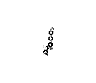 CCc1c(-c2ccnc(C)c2)[nH]c2ccc(N3CCN(C4CCN(C(C)C)CC4)CC3)cc12